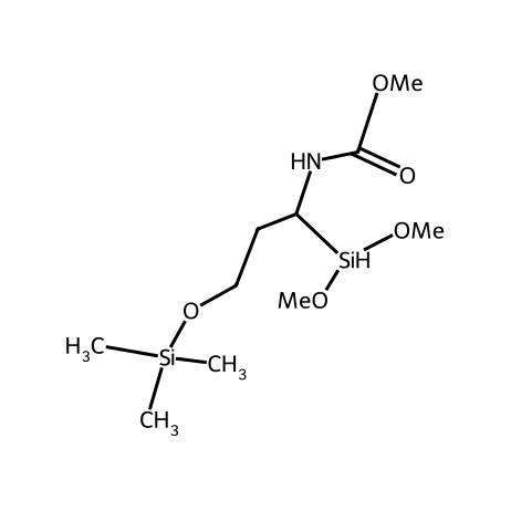 COC(=O)NC(CCO[Si](C)(C)C)[SiH](OC)OC